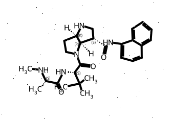 CN[C@@H](C)C(=O)N[C@H](C(=O)N1CC[C@H]2NC[C@H](C(=O)Nc3cccc4ccccc34)[C@H]21)C(C)(C)C